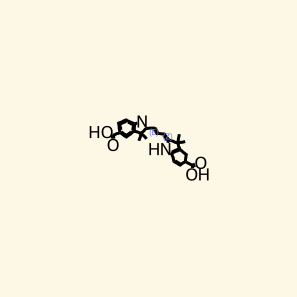 CC1(C)C2=C(C=CC(C(=O)O)C2)N/C1=C\C=C\C1=Nc2ccc(C(=O)O)cc2C1(C)C